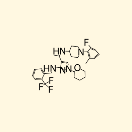 Cc1cccc(F)c1N1CCC(NC(C)c2cn(C3CCCCO3)nc2NCc2ccccc2C(F)(F)F)CC1